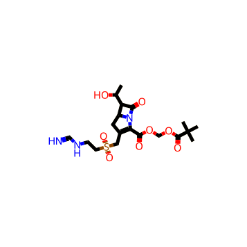 CC(O)C1C(=O)N2C(C(=O)OCOC(=O)C(C)(C)C)=C(CS(=O)(=O)CCNC=N)CC12